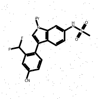 CC(C)n1cc(-c2ccc(C#N)cc2C(F)F)c2ccc(NS(C)(=O)=O)cc21